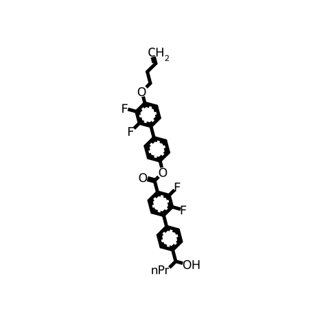 C=CCCOc1ccc(-c2ccc(OC(=O)c3ccc(-c4ccc(C(O)CCC)cc4)c(F)c3F)cc2)c(F)c1F